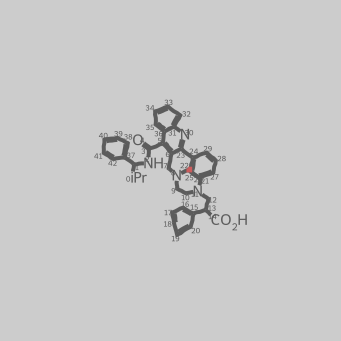 CC(C)C(NC(=O)c1c(CN2CCN(CC(C(=O)O)c3ccccc3)CC2)c(-c2ccccc2)nc2ccccc12)c1ccccc1